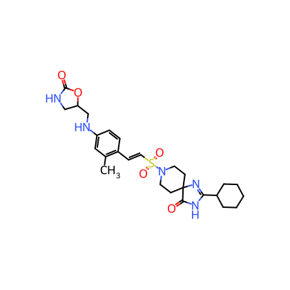 Cc1cc(NCC2CNC(=O)O2)ccc1C=CS(=O)(=O)N1CCC2(CC1)N=C(C1CCCCC1)NC2=O